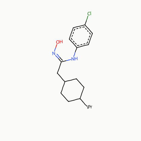 CC(C)C1CCC(CC(=NO)Nc2ccc(Cl)cc2)CC1